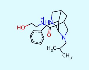 CC(C)CN1CC2CC3CNC2(C(=O)NCCO)C1C3Cc1ccccc1